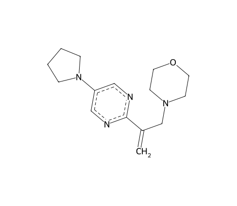 C=C(CN1CCOCC1)c1ncc(N2CCCC2)cn1